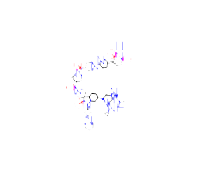 CC(C)n1cnc2cc(-c3ccc4c(c3)N(C3CC(N5CCCCC5)C3)C(=O)C43CCN(C(=O)[C@H]4CCN(C(=O)C5CCN(c6ccc([C@H]7CCC(=O)NC7=O)cn6)CC5)C[C@H]4C)CC3)nc(NC3CC3)c21